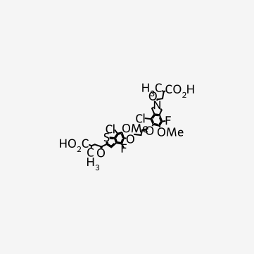 COc1c(F)c2c(c(Cl)c1OCCCOc1c(OC)c(Cl)c3sc(C(=O)CC(C)C(=O)O)cc3c1F)CN(C(=O)CC(C)C(=O)O)C2